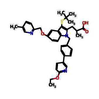 CCOc1ccc(-c2ccc(Cn3c(CC(C)C(=O)O)c(SC(C)(C)C)c4cc(OCc5ccc(C)cn5)ccc43)cc2)cn1